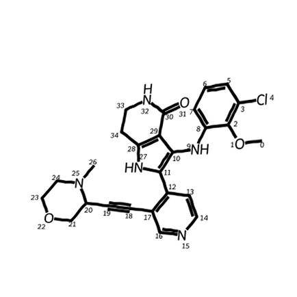 COc1c(Cl)cccc1Nc1c(-c2ccncc2C#CC2COCCN2C)[nH]c2c1C(=O)NCC2